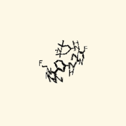 CN1C(C)(C)CC(Nc2nc(Nc3cccc(-c4nnnn4CCF)c3)ncc2F)CC1(C)C